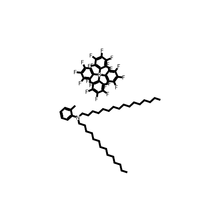 CCCCCCCCCCCCCCCCN(CCCCCCCCCCCCCC)c1ccccc1C.Fc1c(F)c(F)c([B-](c2c(F)c(F)c(F)c(F)c2F)(c2c(F)c(F)c(F)c(F)c2F)c2c(F)c(F)c(F)c(F)c2F)c(F)c1F